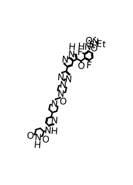 CCN(C)S(=O)(=O)Nc1ccc(F)c(C(=O)c2c[nH]c3ncc(-c4cnc(N5CCN(C(=O)CN6CCC(c7ccc(NC8CCC(=O)NC8=O)cn7)CC6)CC5)nc4)cc23)c1F